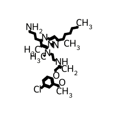 C=C(COc1ccc(Cl)cc1C(C)=O)NCCN(C)c1c(C)c(CCCN)nc2cc(C(C)CCCCC)nn12